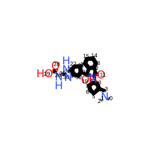 CN(C)Cc1cccc(N2C(=O)c3ccccc3C2(O)c2ccc3[nH]c(NC(=O)O)nc3c2)c1